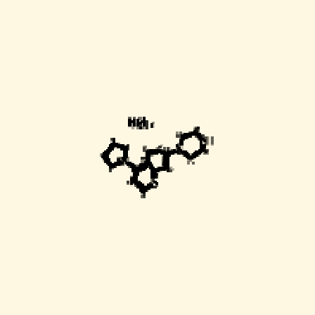 Cl.Cl.c1nc(N2CCCC2)c2ccc(N3CCNCC3)cc2n1